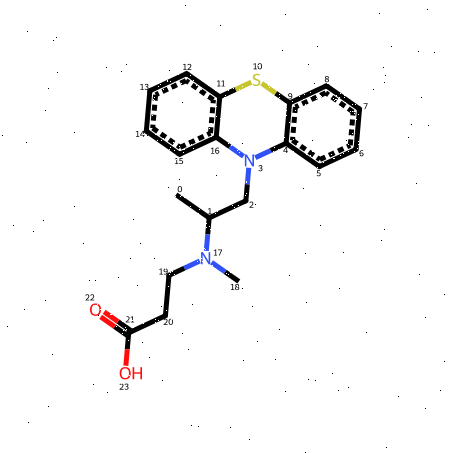 CC(CN1c2ccccc2Sc2ccccc21)N(C)CCC(=O)O